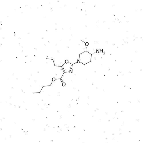 CCCCOC(=O)c1nc(N2CC[C@@H](N)[C@@H](OC)C2)oc1CCC